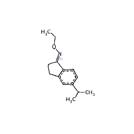 CCO/N=C1\CCc2cc(C(C)C)ccc21